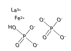 O=P([O-])([O-])O.O=P([O-])([O-])[O-].[Fe+2].[La+3]